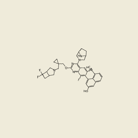 C#Cc1cccc2cc(O)cc(-c3c(F)cc4c(N5CC6CCC(C5)N6)nc(OCC5(CN6CC7CC(F)(F)C7C6)CC5)nc4c3F)c12